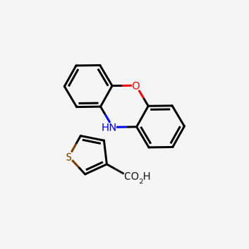 O=C(O)c1ccsc1.c1ccc2c(c1)Nc1ccccc1O2